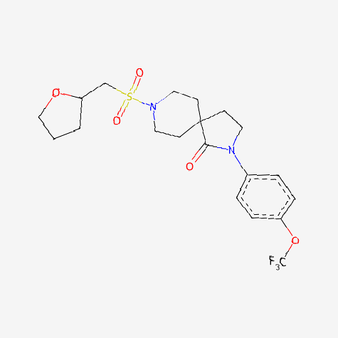 O=C1N(c2ccc(OC(F)(F)F)cc2)CCC12CCN(S(=O)(=O)CC1CCCO1)CC2